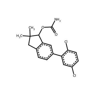 CC1(C)Cc2ccc(-c3cc(Cl)ccc3Cl)cc2C1OC(N)=O